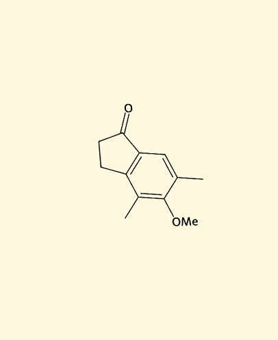 COc1c(C)cc2c(c1C)CCC2=O